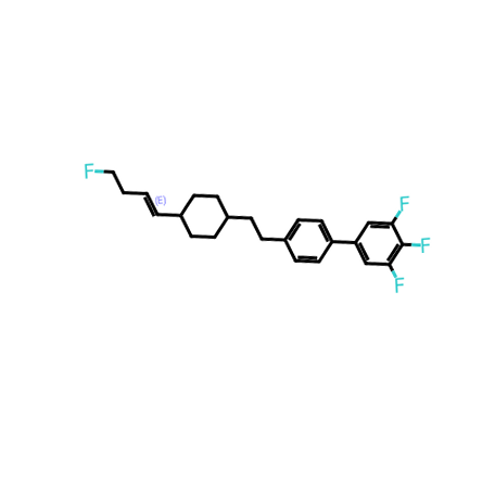 FCC/C=C/C1CCC(CCc2ccc(-c3cc(F)c(F)c(F)c3)cc2)CC1